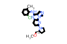 COC[C@@H]1CCCN1c1ccc2nc(Nc3c(C)cccc3Cl)c3cncn3c2n1